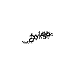 COC1CCN(c2ncc(NC(=O)c3cnn(-c4ccc(Cl)cc4)c3C)cc2C2CC2)CC1